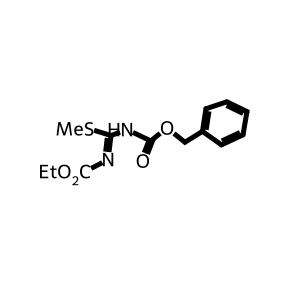 CCOC(=O)N=C(NC(=O)OCc1ccccc1)SC